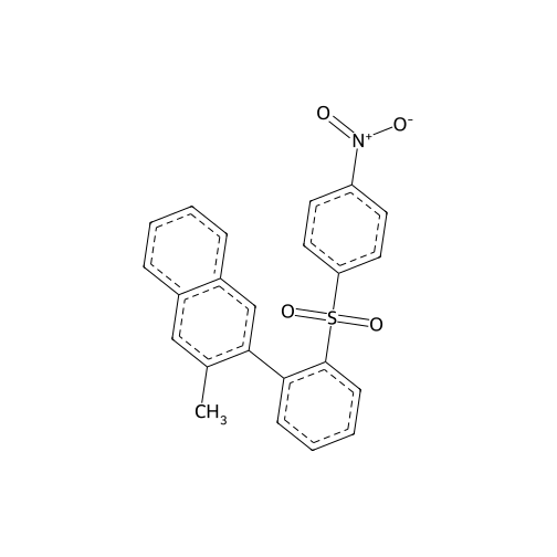 Cc1cc2ccccc2cc1-c1ccccc1S(=O)(=O)c1ccc([N+](=O)[O-])cc1